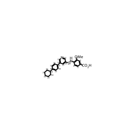 COc1cc(C(=O)O)ccc1NSc1cncc(-c2ccc(C3CCCCC3)cc2)c1